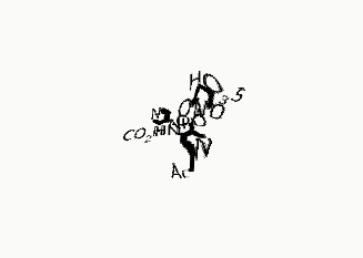 CC(=O)Cc1cc(NNc2ccncc2C(=O)O)c(C(=O)ON2C(=O)CC(S(=O)(=O)O)C2=O)cn1